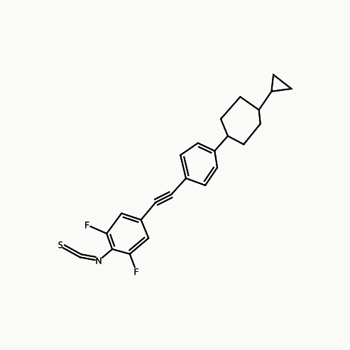 Fc1cc(C#Cc2ccc(C3CCC(C4CC4)CC3)cc2)cc(F)c1N=C=S